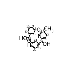 Cc1cccnc1Oc1cccc(CO)c1.OCc1cccc(O)c1